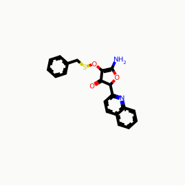 NC1=C(OSCc2ccccc2)C(=O)C(c2ccc3ccccc3n2)O1